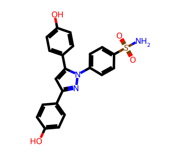 NS(=O)(=O)c1ccc(-n2nc(-c3ccc(O)cc3)cc2-c2ccc(O)cc2)cc1